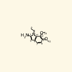 CCn1c(N)cc2ccc(OC)c(OC)c21